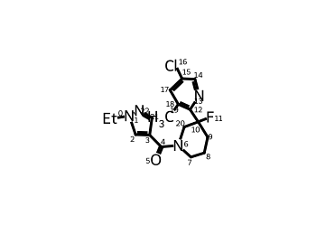 CCn1cc(C(=O)N2CCCC(F)(c3ncc(Cl)cc3C)C2)cn1